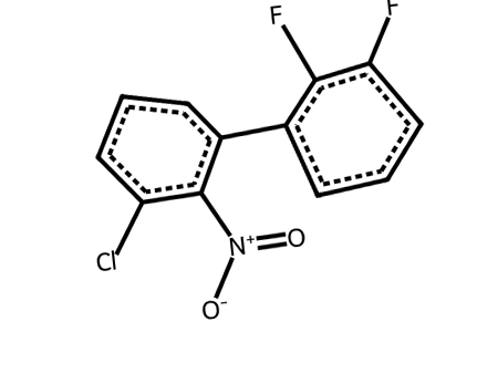 O=[N+]([O-])c1c(Cl)cccc1-c1cccc(F)c1F